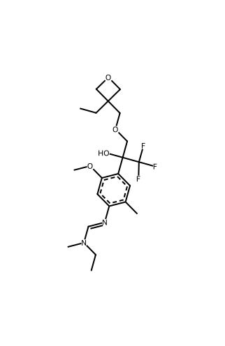 CCN(C)C=Nc1cc(OC)c(C(O)(COCC2(CC)COC2)C(F)(F)F)cc1C